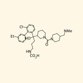 CCc1cccc(-c2c(Cl)cccc2C(O)(CCCNC(=O)O)C2CCCN(C(=O)N3CCC(CNC)CC3)C2)c1